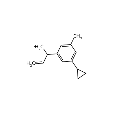 [CH2]C(C=C)c1cc(C)cc(C2CC2)c1